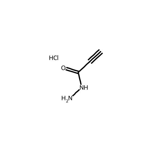 C#CC(=O)NN.Cl